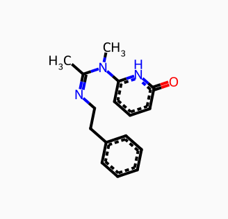 CC(=NCCc1ccccc1)N(C)c1cccc(=O)[nH]1